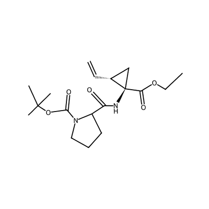 C=C[C@@H]1C[C@]1(NC(=O)C1CCCN1C(=O)OC(C)(C)C)C(=O)OCC